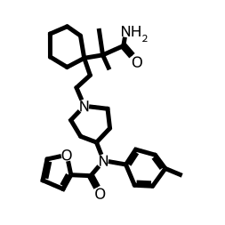 Cc1ccc(N(C(=O)c2ccco2)C2CCN(CCC3(C(C)(C)C(N)=O)CCCCC3)CC2)cc1